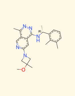 COC1(C)CN(c2cc3c(N[C@H](C)c4cccc(C)c4C)nnc(C)c3cn2)C1